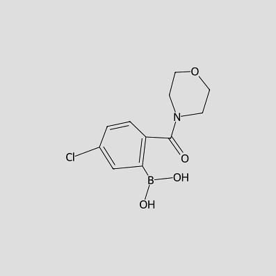 O=C(c1ccc(Cl)cc1B(O)O)N1CCOCC1